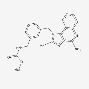 CCCCc1nc2c(N)nc3ccccc3c2n1Cc1cccc(CNC(=O)OC(C)(C)C)c1